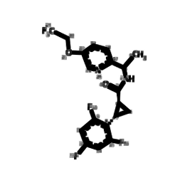 CC(NC(=O)[C@H]1C[C@@H]1c1c(F)cc(F)cc1F)c1ccc(OCC(F)(F)F)cn1